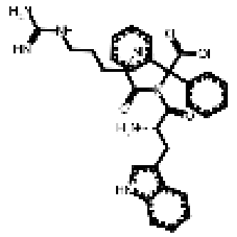 N=C(N)NCCC[C@H](N)C(=O)N(C(=O)[C@@H](N)Cc1c[nH]c2ccccc12)C(C(=O)O)(c1ccccc1)c1ccccc1